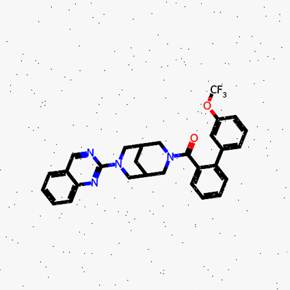 O=C(c1ccccc1-c1cccc(OC(F)(F)F)c1)N1CC2CC(C1)CN(c1ncc3ccccc3n1)C2